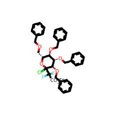 CCOC(=O)C(F)(F)C1(Cl)O[C@H](COCc2ccccc2)[C@@H](OCc2ccccc2)[C@H](OCc2ccccc2)[C@H]1OCc1ccccc1